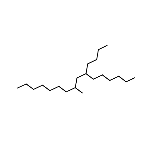 CCCCCCCC(C)[CH]C(CCCC)CCCCCC